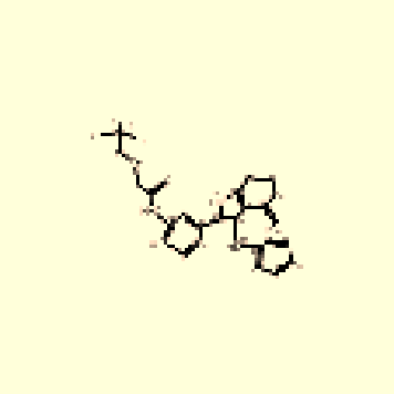 O=C(COCC(F)(F)C(F)(F)F)Nc1cc(-c2[nH]c3c(c2Nc2ccccc2)C(=O)CCC3)ccn1